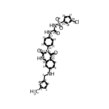 Cc1ccc(CNc2ccc3c(=O)n(-c4ccc(NC(=O)NS(=O)(=O)c5ccc(Cl)s5)cc4)c(=O)[nH]c3c2)s1